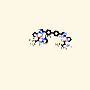 Cc1ccnc(N[C@H](C(=O)N2CCC[C@H]2c2ncc(-c3ccc(-c4ccc(-c5cnc([C@@H]6CCCN6C(=O)[C@@H](N)C(C)C)[nH]5)cc4)cc3)[nH]2)C(C)C)n1